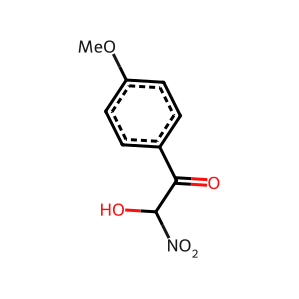 COc1ccc(C(=O)C(O)[N+](=O)[O-])cc1